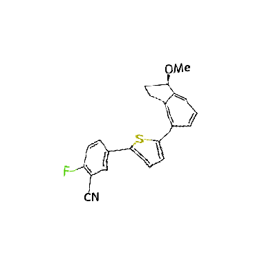 CO[C@@H]1CCc2c(-c3ccc(-c4ccc(F)c(C#N)c4)s3)cccc21